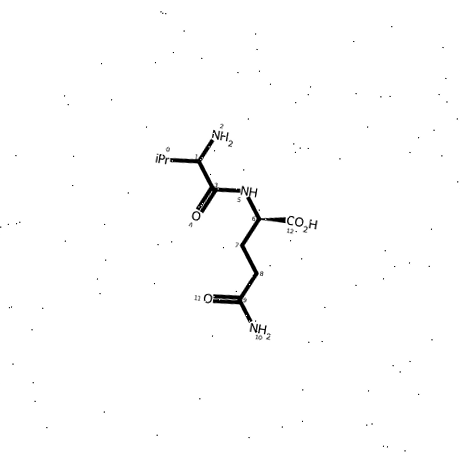 CC(C)C(N)C(=O)N[C@H](CCC(N)=O)C(=O)O